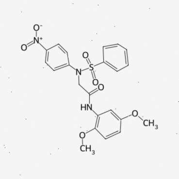 COc1ccc(OC)c(NC(=O)CN(c2ccc([N+](=O)[O-])cc2)S(=O)(=O)c2ccccc2)c1